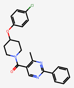 Cc1nc(-c2ccccc2)ncc1C(=O)N1CCC(Oc2ccc(Cl)cc2)CC1